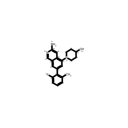 Cc1cccc(F)c1-c1cc(N2CCC(O)CC2)c2cc(N)ncc2c1